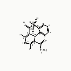 COC(=O)C1=C(C)NC(C)=C(C(=O)OC)C1c1ccccc1S(C)(=O)=O